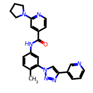 Cc1ccc(NC(=O)c2ccnc(N3CCCC3)c2)cc1-n1cc(-c2cccnc2)nn1